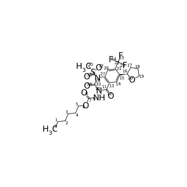 CCCCCCOC(=O)Nn1c(=O)c2cc([C@H]3CCCO3)c(C(F)(F)F)cc2n(S(C)(=O)=O)c1=O